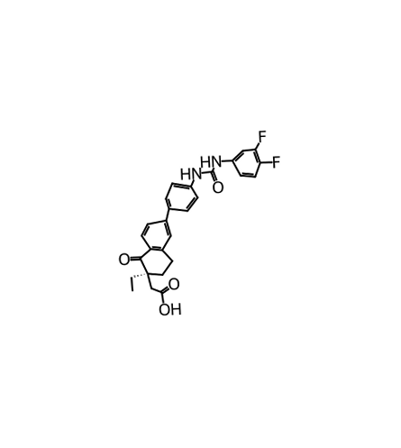 CC[C@@]1(CC(=O)O)CCc2cc(-c3ccc(NC(=O)Nc4ccc(F)c(F)c4)cc3)ccc2C1=O